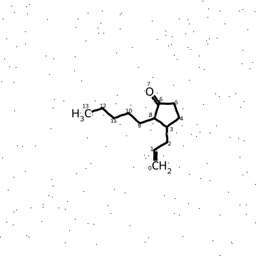 C=CCC1CCC(=O)C1CCCCC